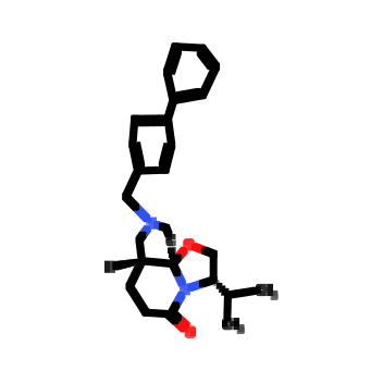 CC(C)[C@H]1CO[C@]23CCN(Cc4ccc(-c5ccccc5)cc4)C[C@H]2CCC(=O)N13